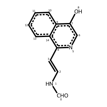 O=CNC=Cc1ncc(O)c2ccccc12